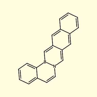 C1=CN2C=c3cc4ccccc4cc3=CB2c2ccccc21